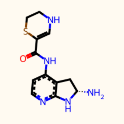 N[C@H]1Cc2c(NC(=O)C3=CNCCS3)ccnc2N1